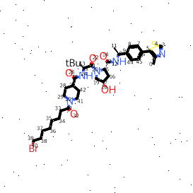 Cc1ncsc1-c1ccc([C@H](C)NC(=O)[C@@H]2C[C@@H](O)CN2C(=O)[C@@H](NC(=O)C2CCN(C(=O)CCCCCCCBr)CC2)C(C)(C)C)cc1